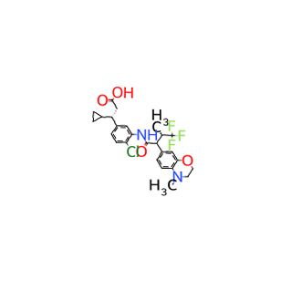 C[C@H](C(C(=O)Nc1cc([C@@H](CC(=O)O)C2CC2)ccc1Cl)c1ccc2c(c1)OCCN2C)C(F)(F)F